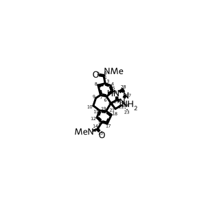 CNC(=O)c1ccc2c(c1)CCc1cc(C(=O)NC)ccc1C2(C[C@@H](C)N)c1nnc[nH]1